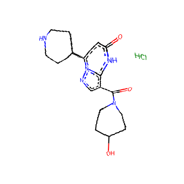 Cl.O=C(c1cnn2c(C3CCNCC3)cc(=O)[nH]c12)N1CCC(O)CC1